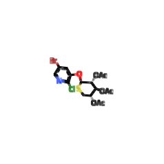 CC(=O)O[C@@H]1[C@@H](OC(C)=O)[C@H](OC(C)=O)CS[C@H]1Oc1cc(Br)cnc1Cl